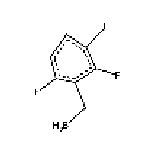 BCc1c(F)ccc(F)c1F